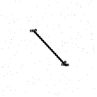 O=C(O)CCCCCCCCCCCCCCCCCCCCCCCCCCCCCCCCCC(=O)NO